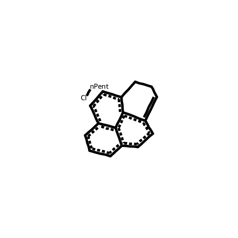 C1=c2ccc3cccc4ccc(c2c43)CC1.CCCCCCl